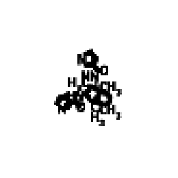 C[C@@H]1[C@H](NC(=O)c2cccnc2)CC2C(C)(C)CCC[C@]2(C)[C@H]1CNC(=O)c1cccnc1